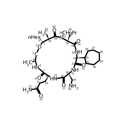 CCCCCC[C@H]1OC[C@H](C)NC(=O)[C@H](CCC(N)=O)NC(=O)[C@H](CN)NC(=O)[C@H](C2CCCCCC2)NC(=O)[C@H](CCC)N(C)C(=O)[C@@H]1C